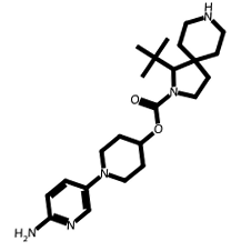 CC(C)(C)C1N(C(=O)OC2CCN(c3ccc(N)nc3)CC2)CCC12CCNCC2